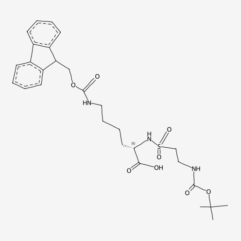 CC(C)(C)OC(=O)NCCS(=O)(=O)N[C@@H](CCCCNC(=O)OCC1c2ccccc2-c2ccccc21)C(=O)O